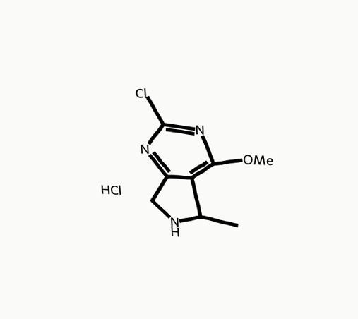 COc1nc(Cl)nc2c1C(C)NC2.Cl